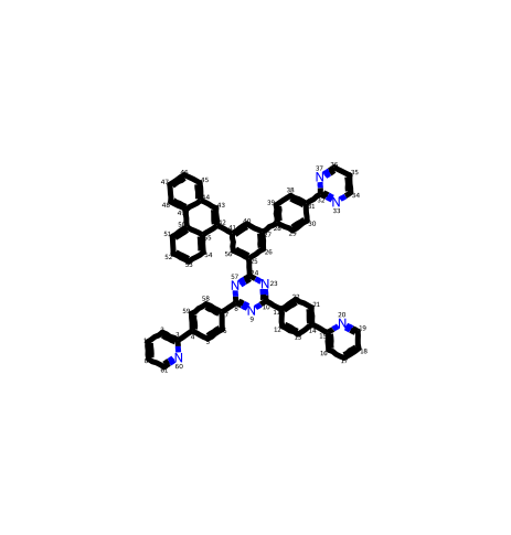 c1ccc(-c2ccc(-c3nc(-c4ccc(-c5ccccn5)cc4)nc(-c4cc(-c5ccc(-c6ncccn6)cc5)cc(-c5cc6ccccc6c6ccccc56)c4)n3)cc2)nc1